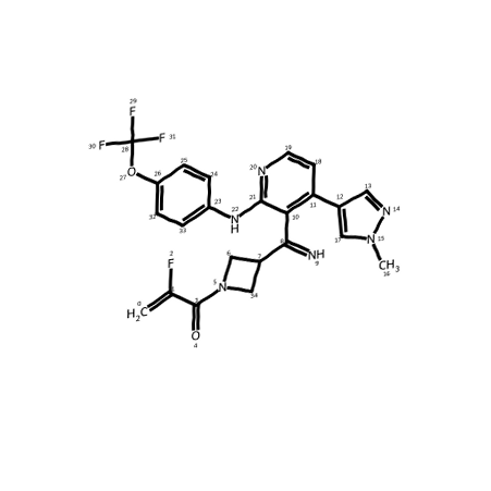 C=C(F)C(=O)N1CC(C(=N)c2c(-c3cnn(C)c3)ccnc2Nc2ccc(OC(F)(F)F)cc2)C1